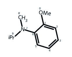 COc1ccccc1N(C)C(C)C